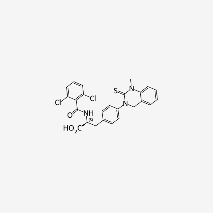 CN1C(=S)N(c2ccc(C[C@H](NC(=O)c3c(Cl)cccc3Cl)C(=O)O)cc2)Cc2ccccc21